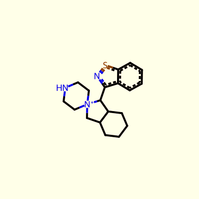 c1ccc2c(C3C4CCCCC4C[N+]34CCNCC4)nsc2c1